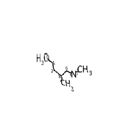 CCCC(C)C[N]C